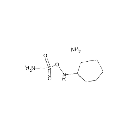 N.NS(=O)(=O)ONC1CCCCC1